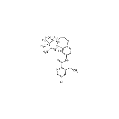 CCc1cc(Cl)cnc1C(=O)Nc1ccc2c(c1)[C@@]1(C)N=C(N)C(C)(C)S(O)(O)[C@@H]1CCO2